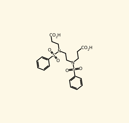 O=C(O)CCN(CCN(CCC(=O)O)S(=O)(=O)c1ccccc1)S(=O)(=O)c1ccccc1